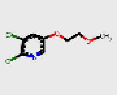 COCCOc1cnc(Cl)c(Cl)c1